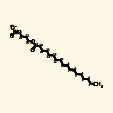 CCCCCCC=CC=CCCCCCCCC(=O)OCCCO[N+](=O)[O-]